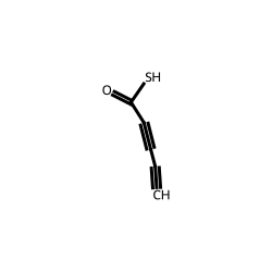 C#CC#CC(=O)S